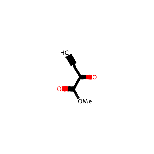 C#CC(=O)C(=O)OC